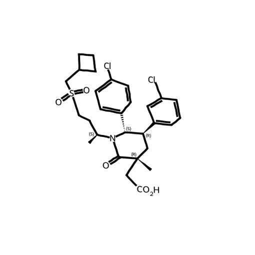 C[C@@H](CCS(=O)(=O)CC1CCC1)N1C(=O)[C@@](C)(CC(=O)O)C[C@H](c2cccc(Cl)c2)[C@H]1c1ccc(Cl)cc1